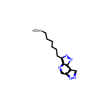 CCCCCCCCCCCCCCCCC1=c2ncc3c(c2N=N1)C=NN=3